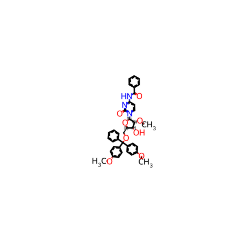 COc1ccc(C(OC[C@H]2O[C@@H](n3ccc(NC(=O)c4ccccc4)nc3=O)[C@H](OC)[C@@H]2O)(c2ccccc2)c2ccc(OC)cc2)cc1